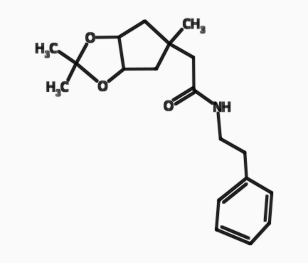 CC1(CC(=O)NCCc2ccccc2)CC2OC(C)(C)OC2C1